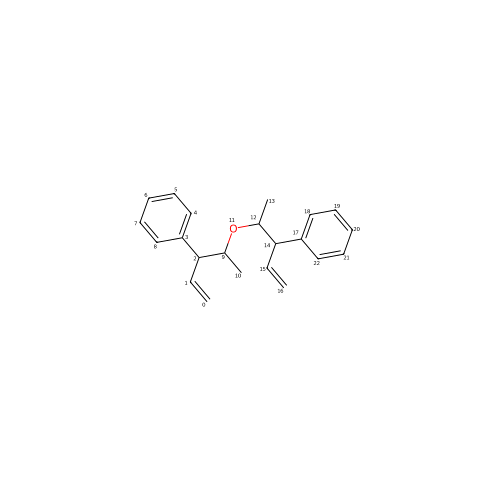 C=CC(c1ccccc1)C(C)OC(C)C(C=C)c1ccccc1